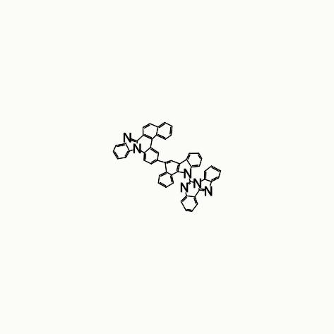 c1ccc2c(c1)ccc1c2c2cc(-c3cc4c5ccccc5n(-c5nc6ccccc6c6nc7ccccc7n56)c4c4ccccc34)ccc2n2c3ccccc3nc12